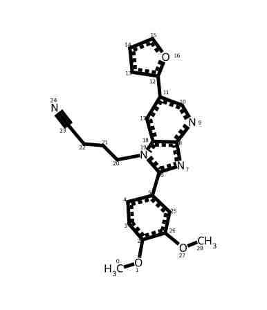 COc1ccc(-c2nc3ncc(-c4ccco4)cc3n2CCCC#N)cc1OC